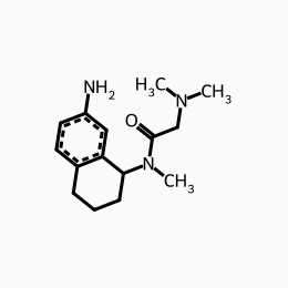 CN(C)CC(=O)N(C)C1CCCc2ccc(N)cc21